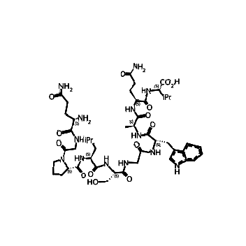 CC(C)C[C@H](NC(=O)[C@@H]1CCCN1C(=O)CNC(=O)[C@@H](N)CCC(N)=O)C(=O)N[C@@H](CO)C(=O)NCC(=O)N[C@@H](Cc1c[nH]c2ccccc12)C(=O)N[C@@H](C)C(=O)N[C@@H](CCC(N)=O)C(=O)N[C@H](C(=O)O)C(C)C